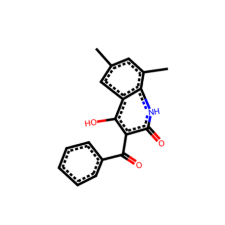 Cc1cc(C)c2[nH]c(=O)c(C(=O)c3ccccc3)c(O)c2c1